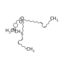 CCCCC/C=C\C/C=C\CCCCCCCCC1(CCCCCCCC/C=C\C/C=C\CCCCC)OCC(CC2CCC(N(C)C)CC2)O1